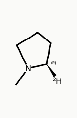 [2H][C@@H]1CCCN1C